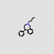 CCCCN1CCC(c2ccccc2)c2ccccc2C1